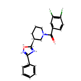 O=C(c1ccc(F)c(F)c1)N1CCC[C@H](c2nc(-c3ccccc3)no2)C1